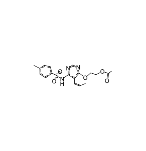 C/C=C\c1c(NS(=O)(=O)c2ccc(C)cc2)ncnc1OCCOC(C)=O